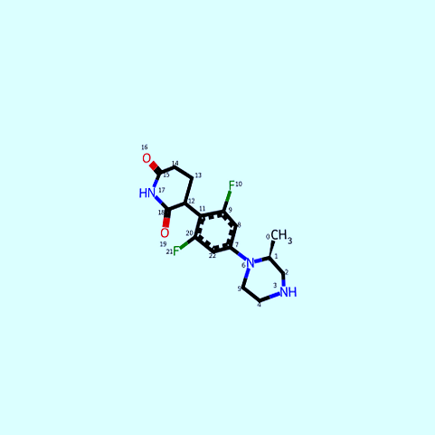 C[C@H]1CNCCN1c1cc(F)c(C2CCC(=O)NC2=O)c(F)c1